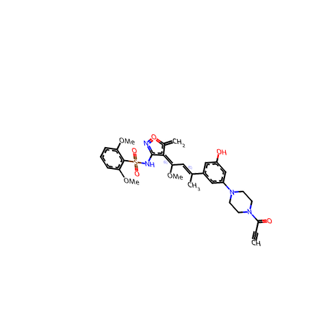 C#CC(=O)N1CCN(c2cc(O)cc(/C(C)=C/C(OC)=c3/c(NS(=O)(=O)c4c(OC)cccc4OC)noc3=C)c2)CC1